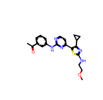 COCCNc1nc(C2CC2)c(-c2ccnc(Nc3cccc(C(C)=O)c3)n2)s1